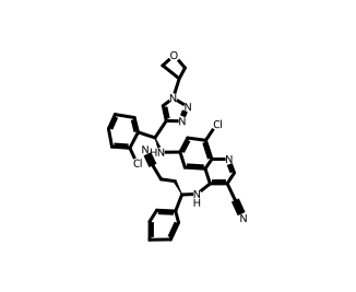 N#CCC[C@@H](Nc1c(C#N)cnc2c(Cl)cc(N[C@H](c3cn(C4COC4)nn3)c3ccccc3Cl)cc12)c1ccccc1